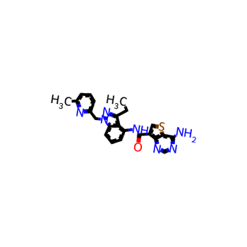 CCc1nn(Cc2cccc(C)n2)c2cccc(NC(=O)c3csc4c(N)ncnc34)c12